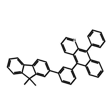 CC1(C)c2ccccc2-c2ccc(-c3cccc(-c4c5ccccc5c(-c5ccccc5)c5ncccc45)c3)cc21